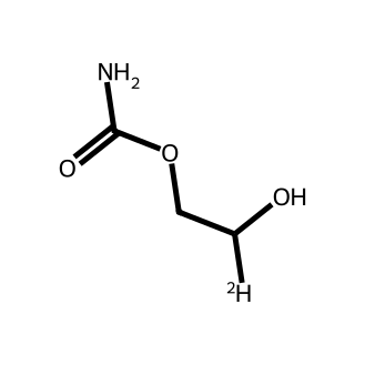 [2H]C(O)COC(N)=O